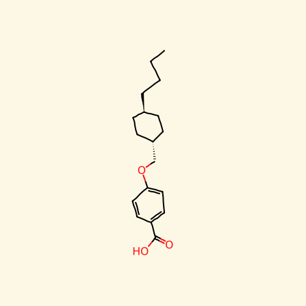 CCCC[C@H]1CC[C@H](COc2ccc(C(=O)O)cc2)CC1